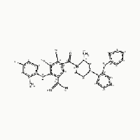 Cc1cc(I)ccc1Nc1c(C(=O)O)cc(C(=O)N2CCN(c3ccncc3Oc3ccccc3)CC2C)c(F)c1F